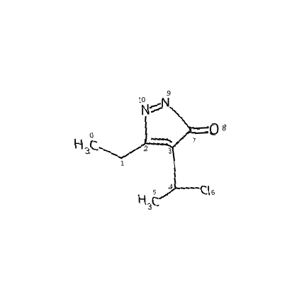 CCC1=C(C(C)Cl)C(=O)N=N1